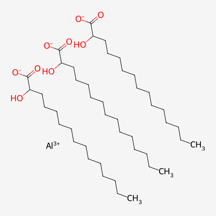 CCCCCCCCCCCCCC(O)C(=O)[O-].CCCCCCCCCCCCCC(O)C(=O)[O-].CCCCCCCCCCCCCC(O)C(=O)[O-].[Al+3]